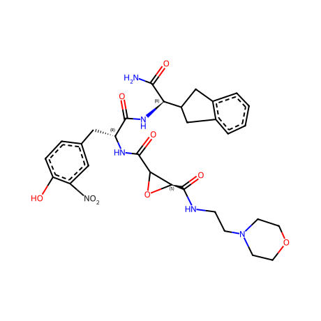 NC(=O)[C@H](NC(=O)[C@@H](Cc1ccc(O)c([N+](=O)[O-])c1)NC(=O)C1O[C@@H]1C(=O)NCCN1CCOCC1)C1Cc2ccccc2C1